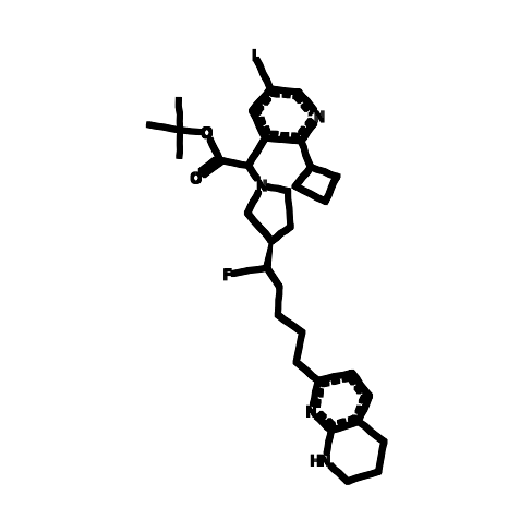 CC(C)(C)OC(=O)C(c1cc(I)cnc1C1CCC1)N1CC[C@@H](C(F)CCCCc2ccc3c(n2)NCCC3)C1